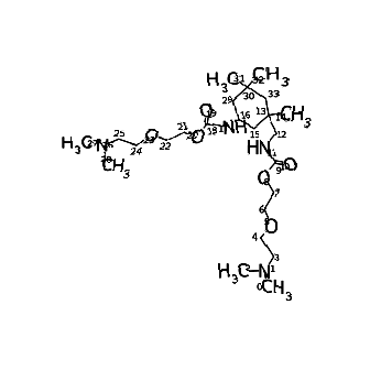 CN(C)CCOCCOC(=O)NCC1(C)CC(NC(=O)OCCOCCN(C)C)CC(C)(C)C1